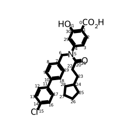 O=C(O)c1ccc(N(Cc2ccc(-c3ccc(Cl)cc3)cc2)C(=O)CCC2CCCC2)cc1O